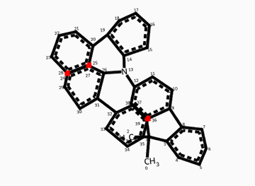 CC1(C)c2ccccc2-c2ccc(N(c3ccccc3-c3ccccc3)c3ccccc3-c3ccccc3)cc21